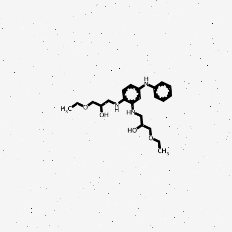 CCOCC(O)CNc1ccc(Nc2ccccc2)cc1NCC(O)COCC